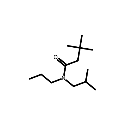 CCCN(CC(C)C)C(=O)CC(C)(C)C